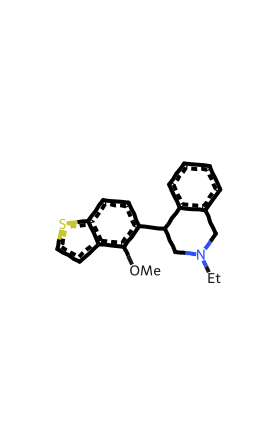 CCN1Cc2ccccc2C(c2ccc3sccc3c2OC)C1